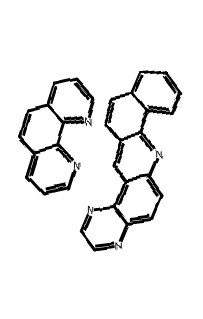 c1ccc2c(c1)ccc1cc3c(ccc4nccnc43)nc12.c1cnc2c(c1)ccc1cccnc12